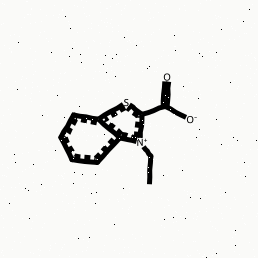 CC[n+]1c(C(=O)[O-])sc2ccccc21